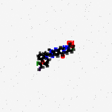 Cn1c(-c2cc3cccc(OC(F)CI)c3n2CC2CC2)nc2cc3c(nc21)CCN(CC(CF)NC(=O)O)C3=O